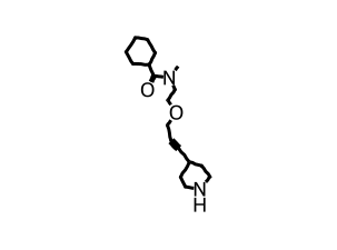 CN(CCOCC#CC1CCNCC1)C(=O)C1CCCCC1